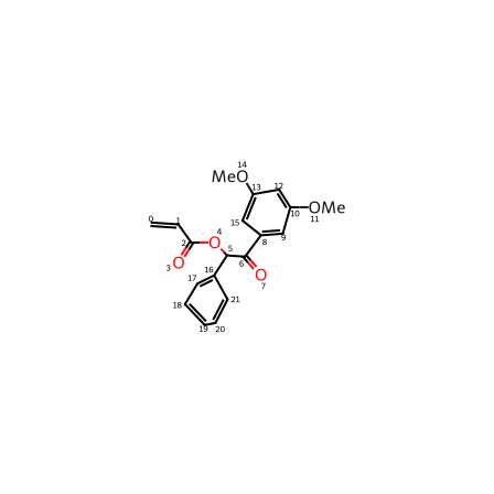 C=CC(=O)OC(C(=O)c1cc(OC)cc(OC)c1)c1ccccc1